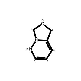 C1=C[N]N2COCC2=C1